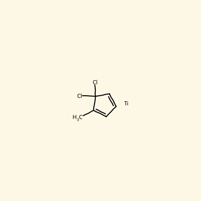 CC1=CC=CC1(Cl)Cl.[Ti]